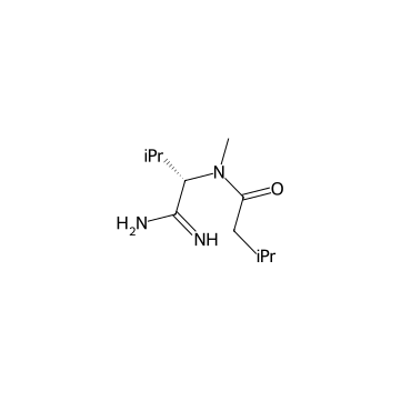 CC(C)CC(=O)N(C)[C@H](C(=N)N)C(C)C